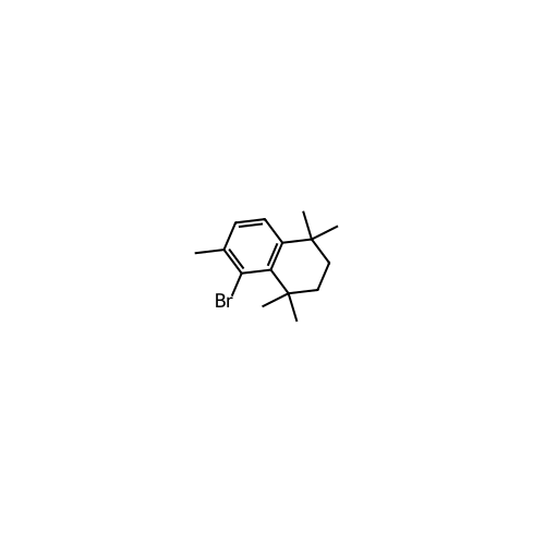 Cc1ccc2c(c1Br)C(C)(C)CCC2(C)C